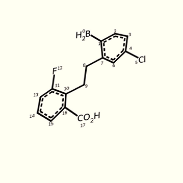 Bc1ccc(Cl)cc1CCc1c(F)cccc1C(=O)O